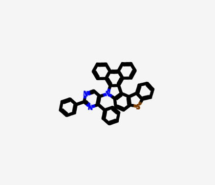 c1ccc(-c2ncc(-n3c4ccc5sc6ccccc6c5c4c4c5ccccc5c5ccccc5c43)c(-c3ccccc3)n2)cc1